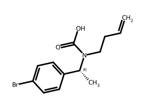 C=CCCN(C(=O)O)[C@H](C)c1ccc(Br)cc1